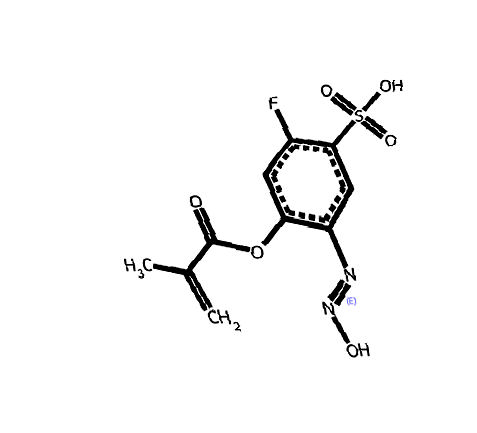 C=C(C)C(=O)Oc1cc(F)c(S(=O)(=O)O)cc1/N=N/O